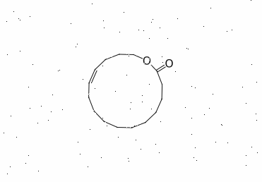 O=C1CCCCCCCCCC=CCCCO1